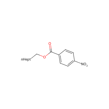 CCCCCCCCOC(=O)c1ccc([N+](=O)[O-])cc1